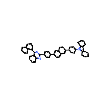 c1ccc2c(-c3nc(-c4ccc(-c5ccc6cc(-c7ccc(-n8c9ccccc9c9ccccc98)cc7)ccc6c5)cc4)nc4ccccc34)cccc2c1